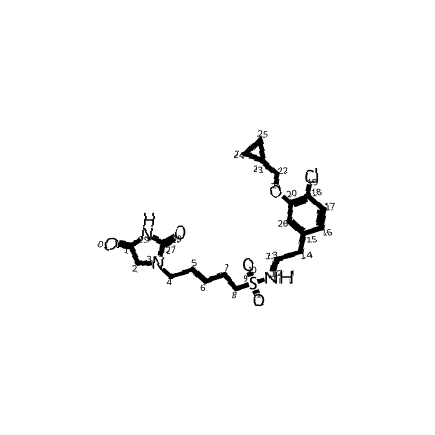 O=C1CN(CCCCCS(=O)(=O)NCCc2ccc(Cl)c(OCC3CC3)c2)C(=O)N1